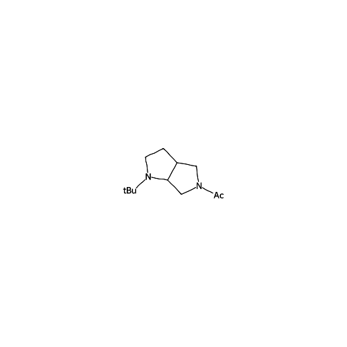 CC(=O)N1CC2CCN(C(C)(C)C)C2C1